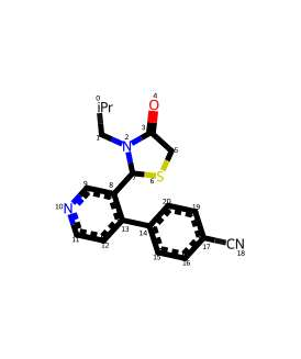 CC(C)CN1C(=O)CSC1c1cnccc1-c1ccc(C#N)cc1